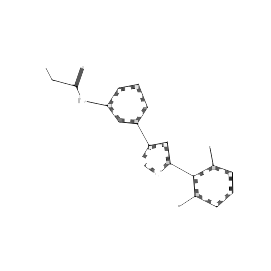 O=C(CCl)Nc1cccc(-c2cc(-c3c(Cl)cccc3Cl)no2)c1